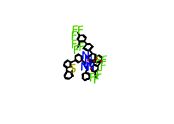 FC(F)(F)c1ccc(-c2ccc3c4ccc(-c5ccc(C(F)(F)F)cc5C(F)(F)F)cc4n(-c4ccc(-c5cccc6c5sc5ccccc56)cc4-c4nc(-c5ccccc5)nc(-c5ccccc5)n4)c3c2)c(C(F)(F)F)c1